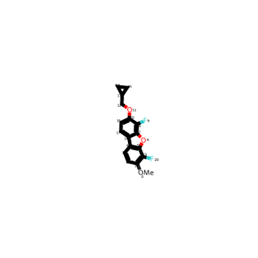 COc1ccc2c(oc3c(F)c(OCC4CC4)ccc32)c1F